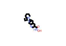 O=C(NO)c1cnc2c(c1)CCN([C@@H]1CC[C@]13CCCCN3C1CC1)C2